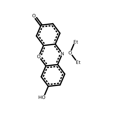 CCOCC.O=c1ccc2nc3ccc(O)cc3oc-2c1